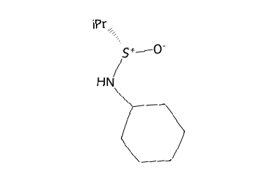 CC(C)[S@+]([O-])NC1CCCCC1